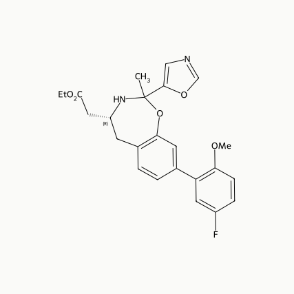 CCOC(=O)C[C@H]1Cc2ccc(-c3cc(F)ccc3OC)cc2OC(C)(c2cnco2)N1